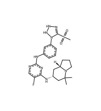 CC1(C)C[C@H](Nc2nc(Nc3cccc(N4NNN=C4S(C)(=O)=O)c3)ncc2F)C[C@@H]2CCCN21